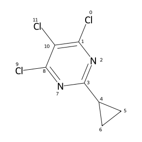 Clc1nc(C2CC2)nc(Cl)c1Cl